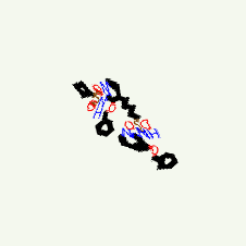 O=S(=O)(CCCCCc1ccnc(NS(=O)(=O)C2CCC2)c1OCc1ccccc1)Nc1ncccc1OCc1ccccc1